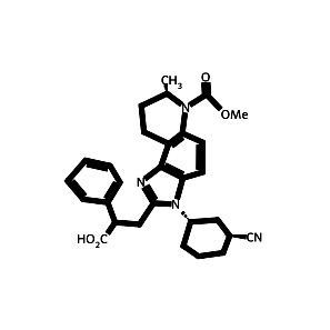 COC(=O)N1c2ccc3c(nc(CC(C(=O)O)c4ccccc4)n3[C@H]3CCC[C@H](C#N)C3)c2CC[C@@H]1C